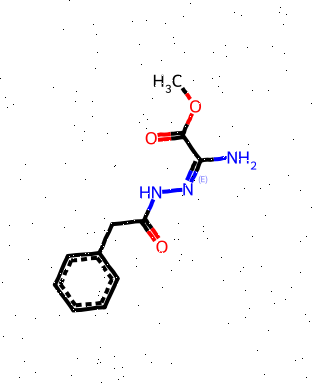 COC(=O)/C(N)=N\NC(=O)Cc1ccccc1